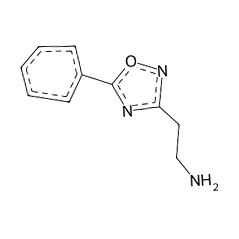 NCCc1noc(-c2ccccc2)n1